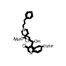 COC(=O)C1(CC[C@H](O)c2c(Cl)cnc3ccc(OC)cc23)CCN(CCCc2ccccc2)CC1